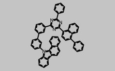 c1ccc(-c2nc(-c3cccc(-c4cccc(-n5c6ccccc6c6ccc7ccccc7c65)c4)c3)nc(-c3ccc(-c4ccccc4)c4ccccc34)n2)cc1